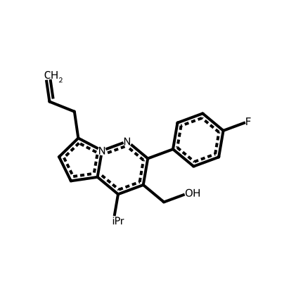 C=CCc1ccc2c(C(C)C)c(CO)c(-c3ccc(F)cc3)nn12